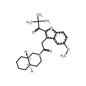 COc1ccc2oc(C(=O)C(C)(C)C)c(CC(=O)N3CC[C@H]4CCCC[C@@H]4C3)c2c1